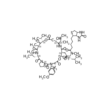 CC[C@H](C)[C@H]1NC(=O)[C@@H](CC(=O)[C@@H](CC(C)C)N(C)C(=O)CCCCC2SCC3NC(=O)NC32)[C@@H](C)OC(=O)[C@H](Cc2ccc(OC)cc2)N(C)C(=O)[C@@H]2CCCN2C(=O)[C@H](CC(C)C)NC(=O)[C@@H](C)C(=O)[C@H](C(C)C)OC(=O)C[C@@H]1O